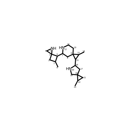 CC1CC2(CN2)C1C1CC2(CCN1)C(C)C2C1CC2(CN1)CC2C